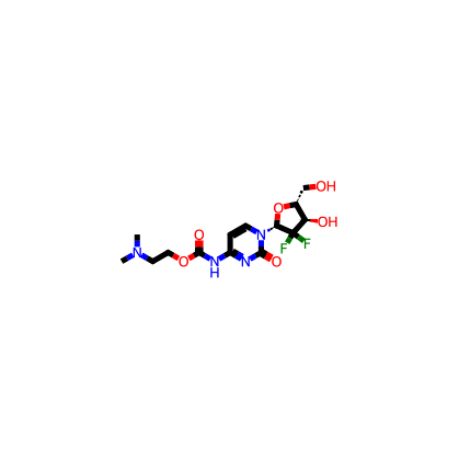 CN(C)CCOC(=O)Nc1ccn([C@@H]2O[C@H](CO)[C@@H](O)C2(F)F)c(=O)n1